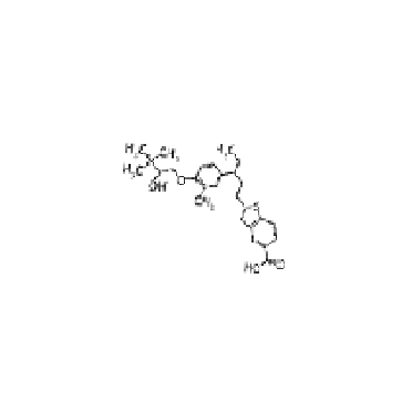 CCC(CCc1cc2cc(C(=O)O)ccc2s1)c1ccc(OCC(O)C(C)(C)C)c(C)c1